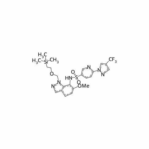 COc1ccc2cnn(COCC[Si](C)(C)C)c2c1NS(=O)(=O)c1ccc(-n2cc(C(F)(F)F)cn2)nc1